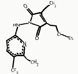 CCOCC1=C(C)C(=O)N(Nc2ccc(C(F)(F)F)c(C)n2)C1=O